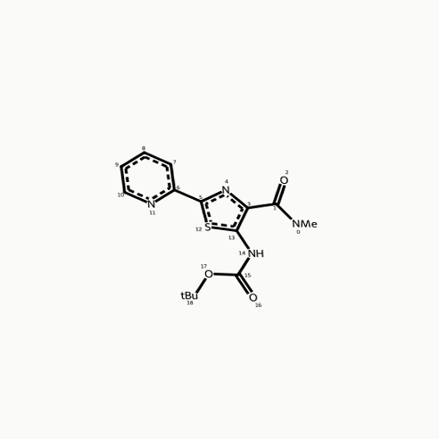 CNC(=O)c1nc(-c2ccccn2)sc1NC(=O)OC(C)(C)C